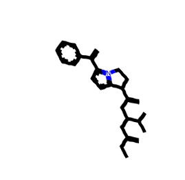 C=C(CC)CC(CC(=C)C1CCn2c(C(=C)c3ccccc3)ccc21)C(C)C